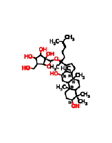 CC(C)=CCC[C@@](C)(OC1OC2C(CO)C(O)C(O)C12O)C1CC[C@]2(C)C1[C@H](O)CC1[C@@]3(C)CC[C@H](O)C(C)(C)C3CC[C@]12C